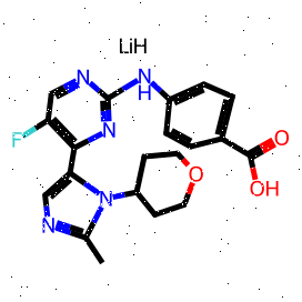 Cc1ncc(-c2nc(Nc3ccc(C(=O)O)cc3)ncc2F)n1C1CCOCC1.[LiH]